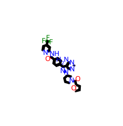 Nc1ncnc2c1c(-c1ccc(C(=O)Nc3cc(C(F)(F)F)ccn3)cc1)nn2C1CCCN(C(=O)C2CCCO2)C1